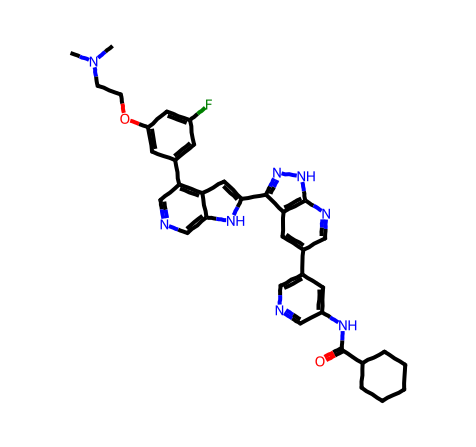 CN(C)CCOc1cc(F)cc(-c2cncc3[nH]c(-c4n[nH]c5ncc(-c6cncc(NC(=O)C7CCCCC7)c6)cc45)cc23)c1